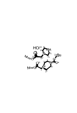 COC(=O)CN1CCN(C(=O)OC(C)(C)C)CC1.COC(=O)CN1CCNCC1.Cl